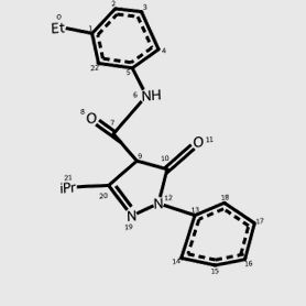 CCc1cccc(NC(=O)C2C(=O)N(c3ccccc3)N=C2C(C)C)c1